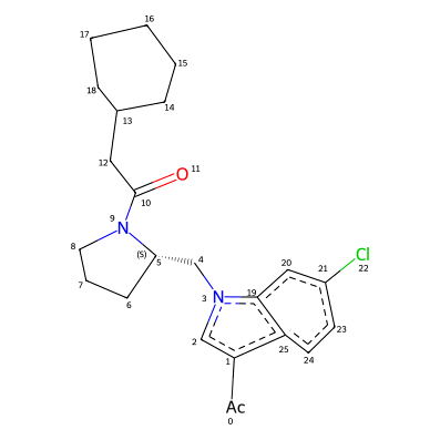 CC(=O)c1cn(C[C@@H]2CCCN2C(=O)CC2CCCCC2)c2cc(Cl)ccc12